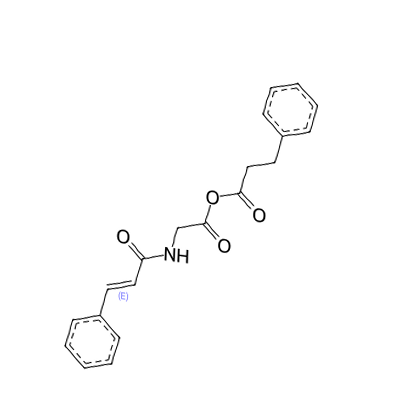 O=C(/C=C/c1ccccc1)NCC(=O)OC(=O)CCc1ccccc1